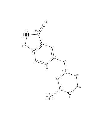 C[C@@H]1CN(Cc2cc3c(cn2)CNC3=O)CCO1